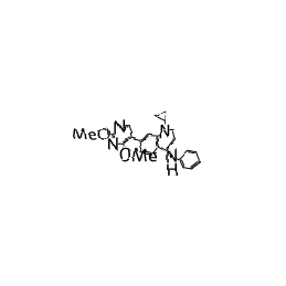 COc1ncc(-c2ccc3c(c2)N(C2CC2)CC=C3Nc2ccccc2)c(OC)n1